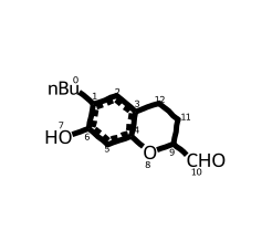 CCCCc1cc2c(cc1O)OC(C=O)CC2